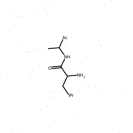 CC(=O)C(C)NC(=O)C(N)CC(C)C